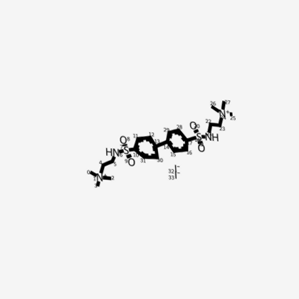 C[N+](C)(C)CCNS(=O)(=O)c1ccc(-c2ccc(S(=O)(=O)NCC[N+](C)(C)C)cc2)cc1.[I-].[I-]